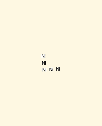 [Ni].[Ni].[Ni].[Ni].[Ni]